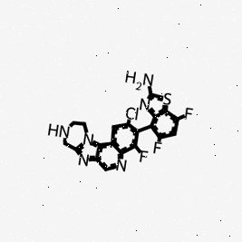 Nc1nc2c(-c3c(Cl)cc4c(ncc5nc6n(c54)CCNC6)c3F)c(F)cc(F)c2s1